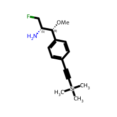 CO[C@H](c1ccc(C#C[Si](C)(C)C)cc1)[C@H](N)CF